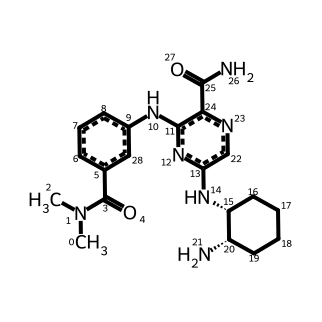 CN(C)C(=O)c1cccc(Nc2nc(N[C@@H]3CCCC[C@@H]3N)cnc2C(N)=O)c1